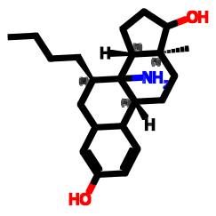 CCCC[C@@H]1CC2C=C(O)C=CC2[C@H]2CC[C@]3(C)C(O)CC[C@H]3C12N